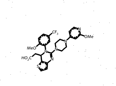 COc1cc(N2CCN(C3=Nc4ccsc4C(CC(=O)O)N3c3cc(C(F)(F)F)ccc3OC)CC2)ccn1